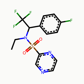 CCN(C(c1ccc(F)cc1)C(F)(F)F)S(=O)(=O)c1cnccn1